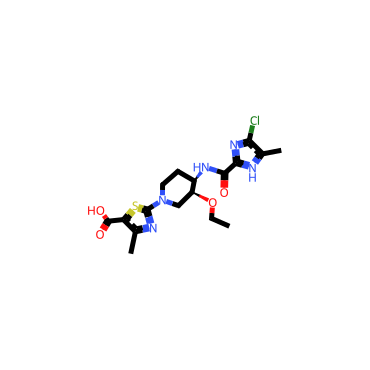 CCO[C@H]1CN(c2nc(C)c(C(=O)O)s2)CC[C@H]1NC(=O)c1nc(Cl)c(C)[nH]1